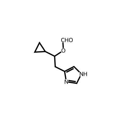 O=COC(Cc1c[nH]cn1)C1CC1